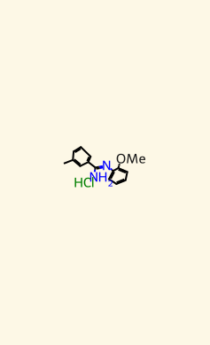 COc1ccccc1N=C(N)c1cccc(C)c1.Cl